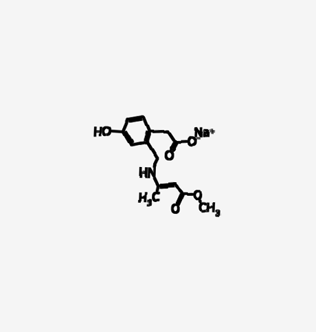 COC(=O)C=C(C)NCc1cc(O)ccc1CC(=O)[O-].[Na+]